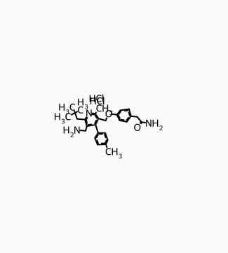 Cc1ccc(-c2c(COc3ccc(CC(N)=O)cc3)c(C)nc(CC(C)(C)C)c2CN)cc1.Cl.Cl